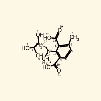 CC(O)CO.Cc1ccc(C(=O)O)c(N(C)C)c1C(=O)O